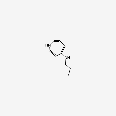 CCCNC1=CC=CNC=C1